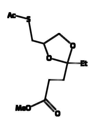 CCC1(CCC(=O)OC)OCC(CSC(C)=O)O1